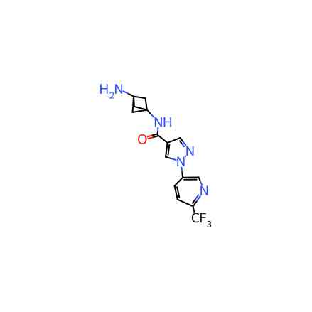 NC12CC(NC(=O)c3cnn(-c4ccc(C(F)(F)F)nc4)c3)(C1)C2